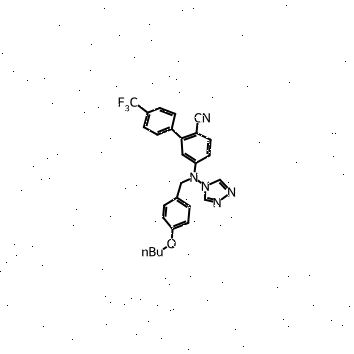 CCCCOc1ccc(CN(c2ccc(C#N)c(-c3ccc(C(F)(F)F)cc3)c2)n2cnnc2)cc1